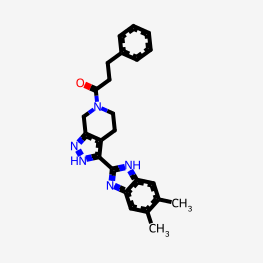 Cc1cc2nc(-c3[nH]nc4c3CCN(C(=O)CCc3ccccc3)C4)[nH]c2cc1C